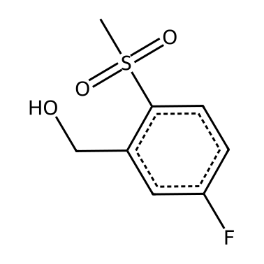 CS(=O)(=O)c1ccc(F)cc1CO